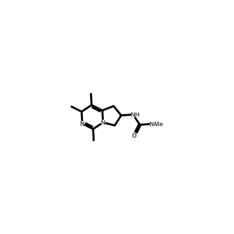 CNC(=O)NC1CC2=C(C)C(C)N=C(C)N2C1